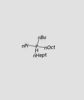 CCCCCCCC[PH](CCC)(CCCC)CCCCCCC